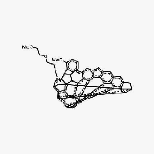 COCCOCCN1CC2C3=c4c5c6c7c8c9c(cc%10cc%11cc%12cc%13c%14c(c4c6c4c%14c%12c6c%11c%10c9c7c64)=C(C3)C%13)=CC3CC2(C=5C83)C1c1ccccc1OC